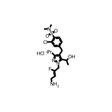 CC(C)c1nn(CC(F)=CCN)c(C(C)O)c1Cc1ccc(S(=O)(=O)N(C)C)c(Cl)c1.Cl